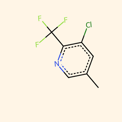 Cc1cnc(C(F)(F)F)c(Cl)c1